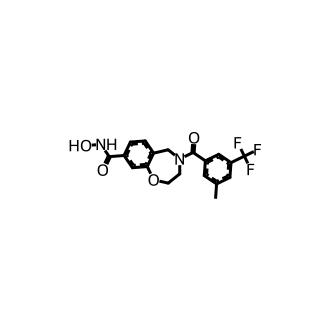 Cc1cc(C(=O)N2CCOc3cc(C(=O)NO)ccc3C2)cc(C(F)(F)F)c1